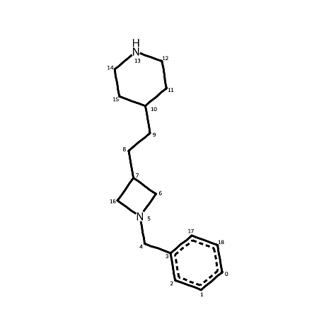 c1ccc(CN2CC(CCC3CCNCC3)C2)cc1